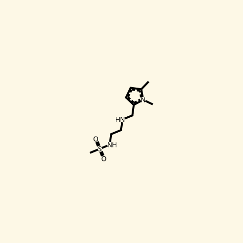 Cc1ccc(CNCCNS(C)(=O)=O)n1C